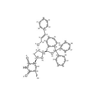 O=c1[nH]c(=O)n([C@H]2C[C@H](OCC=Cc3ccccc3)[C@@H](COC(c3ccccc3)(c3ccccc3)c3ccccc3)O2)cc1F